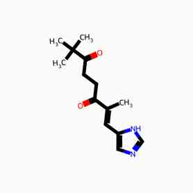 C/C(=C\c1cnc[nH]1)C(=O)CCC(=O)C(C)(C)C